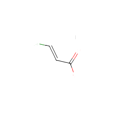 O=C([O-])C=CBr.[Tl+]